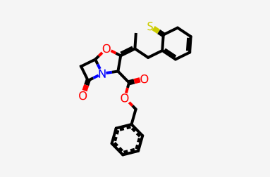 CC(CC1=CC=CCC1=S)=C1OC2CC(=O)N2C1C(=O)OCc1ccccc1